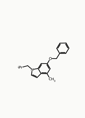 C[C](C)Cn1ccc2c(C)cc(OCc3ccccc3)cc21